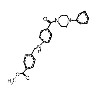 COC(=O)c1ccc(CNc2ccc(C(=O)N3CCN(c4ccccc4)CC3)cc2)cc1